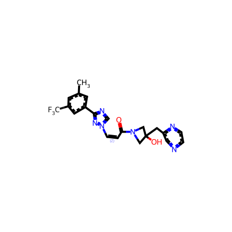 Cc1cc(-c2ncn(/C=C\C(=O)N3CC(O)(Cc4cnccn4)C3)n2)cc(C(F)(F)F)c1